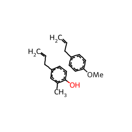 C=CCc1ccc(O)c(C)c1.C=CCc1ccc(OC)cc1